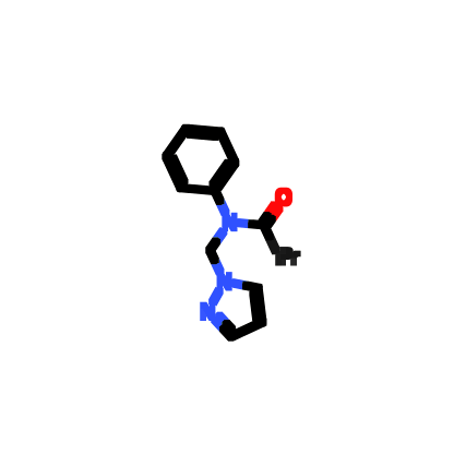 CC(C)C(=O)N(Cn1cccn1)c1ccccc1